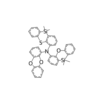 C[Si]1(C)c2ccccc2Oc2c(N(c3cccc4c3Oc3ccccc3O4)c3cccc4c3Sc3ccccc3[Si]4(C)C)cccc21